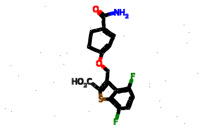 NC(=O)C1=CC=C(OCc2c(C(=O)O)sc3c(F)ccc(F)c23)CC1